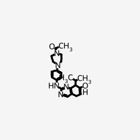 CC(=O)N1CCN(c2ccc(Nc3ncc4c(n3)C(C(C)C)C(O)=CC4)cc2)CC1